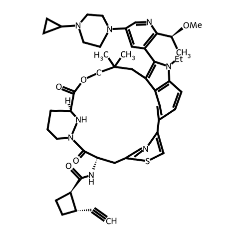 C#C[C@@H]1CC[C@H]1C(=O)N[C@H]1Cc2nc(cs2)-c2ccc3c(c2)c(c(-c2cc(N4CCN(C5CC5)CC4)cnc2[C@H](C)OC)n3CC)CC(C)(C)COC(=O)[C@@H]2CCCN(N2)C1=O